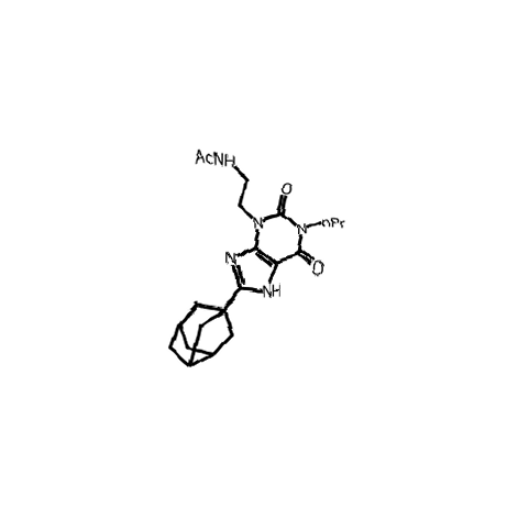 CCCn1c(=O)c2[nH]c(C34CC5CC(C3)C(C5)C4)nc2n(CCNC(C)=O)c1=O